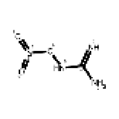 N=C(N)NO[SH](=O)=O